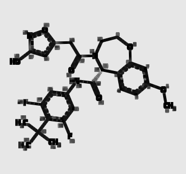 COc1ccc2c(c1)OCCN(C(=O)Cc1cc(O)no1)[C@H]2C(=O)Nc1cc(F)c(C(C)(C)C)c(F)c1